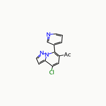 CC(=O)c1cc(Cl)c2ccnn2c1-c1cccnc1